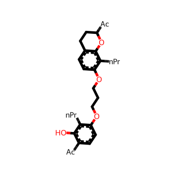 CCCc1c(OCCCOc2ccc3c(c2CCC)OC(C(C)=O)CC3)ccc(C(C)=O)c1O